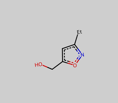 [CH2]Cc1cc(CO)on1